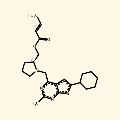 Cc1nc(CN2CCC[C@H]2COC(=O)/C=C/C(=O)O)c2cc(C3CCCCC3)sc2n1